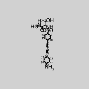 C[C@@H](O)[C@H](NS(=O)(=O)c1ccc(C#CC#Cc2ccc(N)cc2)cc1)C(=O)NO